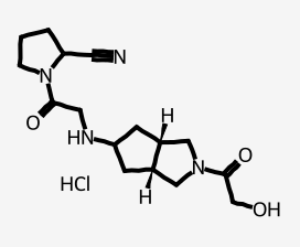 Cl.N#CC1CCCN1C(=O)CNC1C[C@@H]2CN(C(=O)CO)C[C@@H]2C1